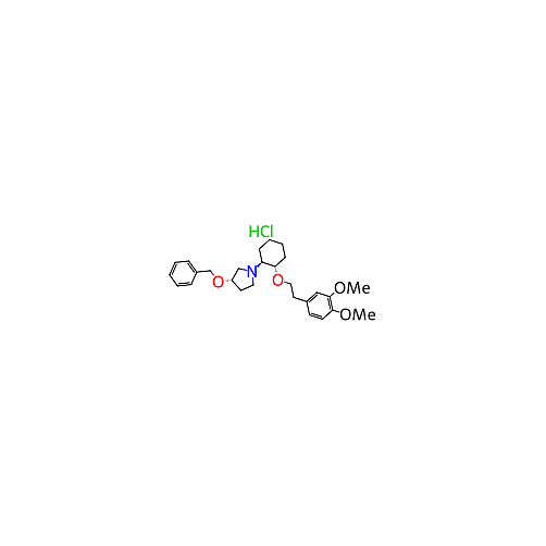 COc1ccc(CCO[C@H]2CCCC[C@@H]2N2CC[C@H](OCc3ccccc3)C2)cc1OC.Cl